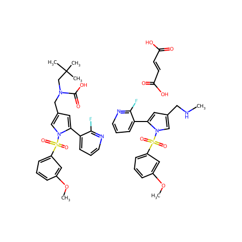 CNCc1cc(-c2cccnc2F)n(S(=O)(=O)c2cccc(OC)c2)c1.COc1cccc(S(=O)(=O)n2cc(CN(CC(C)(C)C)C(=O)O)cc2-c2cccnc2F)c1.O=C(O)C=CC(=O)O